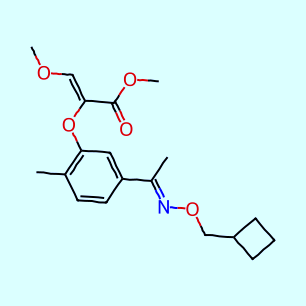 CO/C=C(\Oc1cc(/C(C)=N/OCC2CCC2)ccc1C)C(=O)OC